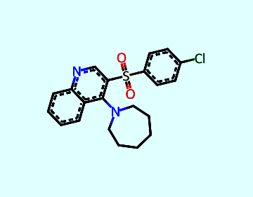 O=S(=O)(c1ccc(Cl)cc1)c1cnc2ccccc2c1N1CCCCCC1